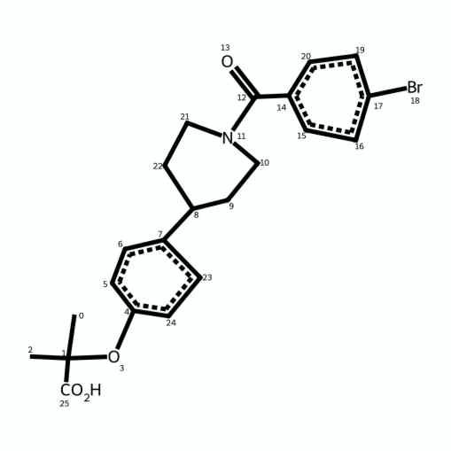 CC(C)(Oc1ccc(C2CCN(C(=O)c3ccc(Br)cc3)CC2)cc1)C(=O)O